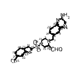 Nc1cnc2cc(CN3CCN(S(=O)(=O)c4cc5ccc(Cl)cc5s4)CC3C=O)ccc2n1